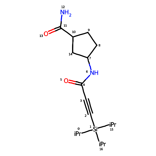 CC(C)[Si](C#CC(=O)NC1CCC(C(N)=O)C1)(C(C)C)C(C)C